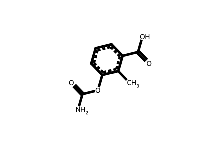 Cc1c(OC(N)=O)cccc1C(=O)O